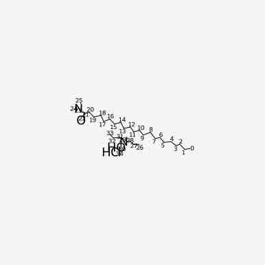 CCCCCCCCCCCCCCCCCCCCCC(=O)N(C)C.CCCN(O)CCC.Cl